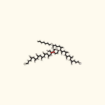 CCCCCCCOC(CCCC(C)CC(C)CC(C)CC(C)CC(C)CC(C)CCCCl)OC(CCCC(C)CC(C)CC(C)CC(C)CC(C)CC(C)CCCCl)OCCCCCCC